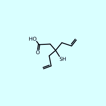 C=CCC(S)(CC=C)CC(=O)O